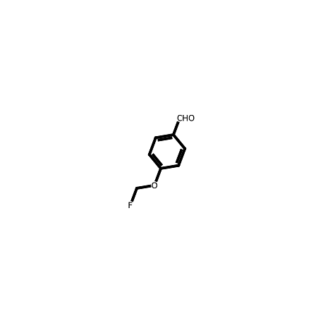 O=Cc1ccc(OCF)cc1